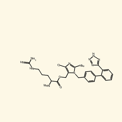 CCCCc1nc(Cl)c(COC(=O)C(CCCNC(=N)N)NC)n1Cc1ccc(-c2ccccc2-c2nn[nH]n2)cc1